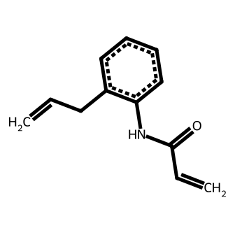 C=CCc1ccccc1NC(=O)C=C